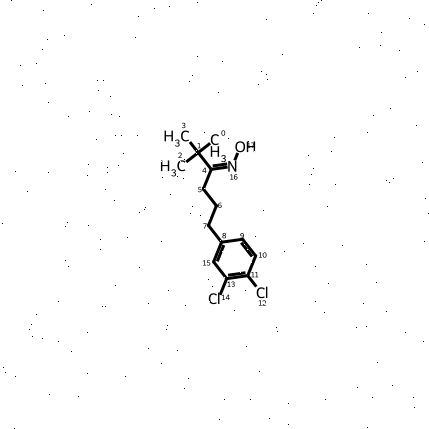 CC(C)(C)C(CCCc1ccc(Cl)c(Cl)c1)=NO